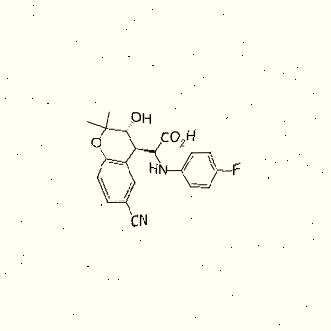 CC1(C)Oc2ccc(C#N)cc2[C@H](C(Nc2ccc(F)cc2)C(=O)O)[C@H]1O